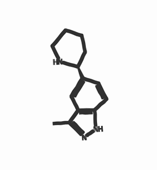 Cc1n[nH]c2ccc([C@@H]3CCCCN3)cc12